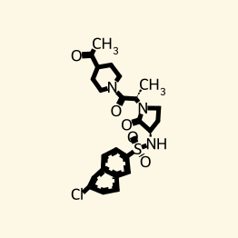 CC(=O)C1CCN(C(=O)[C@H](C)N2CC[C@H](NS(=O)(=O)c3ccc4cc(Cl)ccc4c3)C2=O)CC1